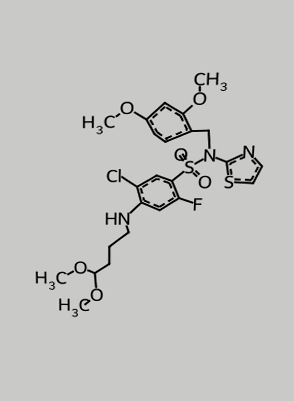 COc1ccc(CN(c2nccs2)S(=O)(=O)c2cc(Cl)c(NCCCC(OC)OC)cc2F)c(OC)c1